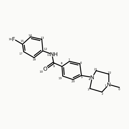 CN1CCN(c2ccc(C(=O)Nc3ccc(F)cc3)cc2)CC1